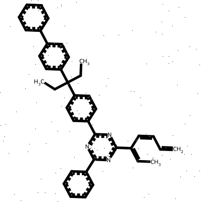 C=C/C=C\C(=C/C)c1nc(-c2ccccc2)nc(-c2ccc(C(CC)(CC)c3ccc(-c4ccccc4)cc3)cc2)n1